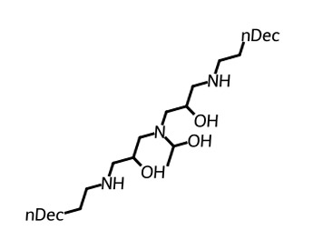 CCCCCCCCCCCCNCC(O)CN(CC(O)CNCCCCCCCCCCCC)C(C)O